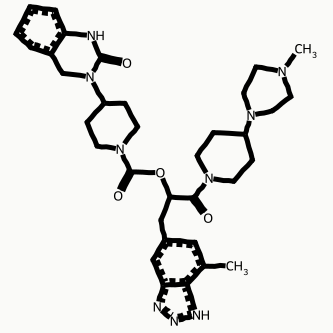 Cc1cc(CC(OC(=O)N2CCC(N3Cc4ccccc4NC3=O)CC2)C(=O)N2CCC(N3CCN(C)CC3)CC2)cc2nn[nH]c12